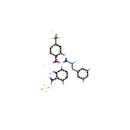 Cn1nc(NS(C)(=O)=O)c2c(Cl)ccc(-n3c(C(N)Cc4cc(F)cc(F)c4)nc4cc(C(C)(F)F)ccc4c3=O)c21